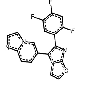 Fc1cc(F)c(-c2nc3occn3c2-c2ccc3nccn3c2)cc1F